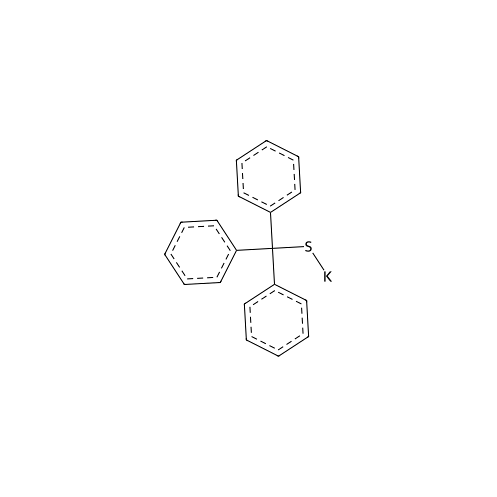 [K][S]C(c1ccccc1)(c1ccccc1)c1ccccc1